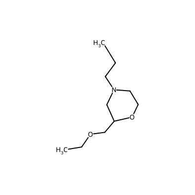 CCCN1CCOC(COCC)C1